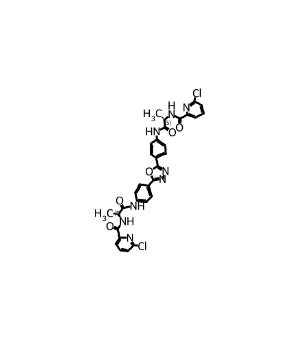 C[C@H](NC(=O)c1cccc(Cl)n1)C(=O)Nc1ccc(-c2nnc(-c3ccc(NC(=O)[C@H](C)NC(=O)c4cccc(Cl)n4)cc3)o2)cc1